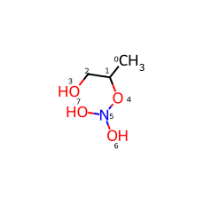 CC(CO)ON(O)O